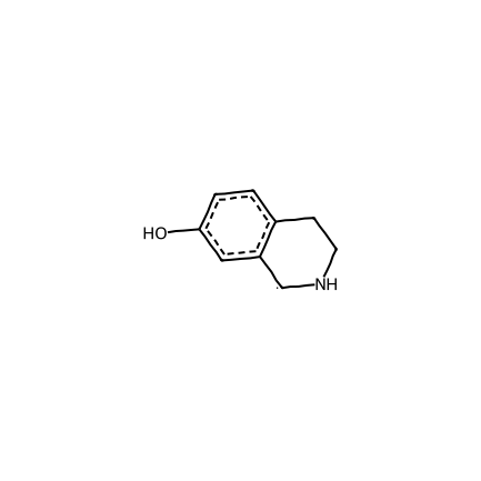 Oc1ccc2c(c1)[CH]NCC2